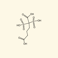 O=C(O)CCCC(C(=O)O)(S(=O)(=O)O)S(=O)(=O)O